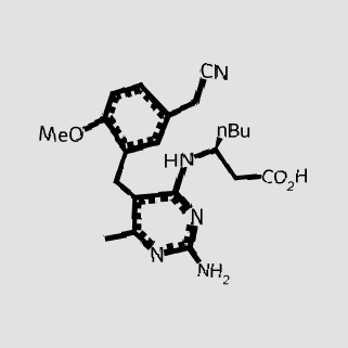 CCCC[C@@H](CC(=O)O)Nc1nc(N)nc(C)c1Cc1cc(CC#N)ccc1OC